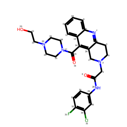 O=C(CN1CCc2nc3ccccc3c(C(=O)N3CCN(CCO)CC3)c2C1)Nc1ccc(F)c(Cl)c1